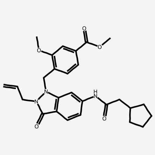 C=CCn1c(=O)c2ccc(NC(=O)CC3CCCC3)cc2n1Cc1ccc(C(=O)OC)cc1OC